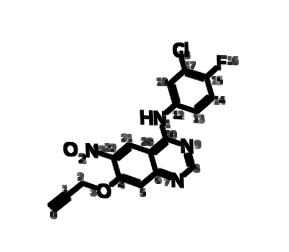 C#CCOc1cc2ncnc(Nc3ccc(F)c(Cl)c3)c2cc1[N+](=O)[O-]